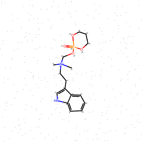 C[N+](C)(CCc1c[nH]c2ccccc12)COP1(=O)OCCCO1